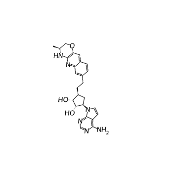 C[C@H]1COc2cc3ccc(CC[C@H]4C[C@@H](n5ccc6c(N)ncnc65)[C@H](O)[C@@H]4O)cc3nc2N1